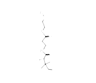 CC(C)(CO)[C@@H](O)C(=O)NCCC(=O)NCCSS